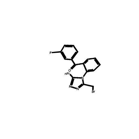 CCCc1nnc(CBr)n1-c1ccccc1C(=O)c1cccc(F)c1